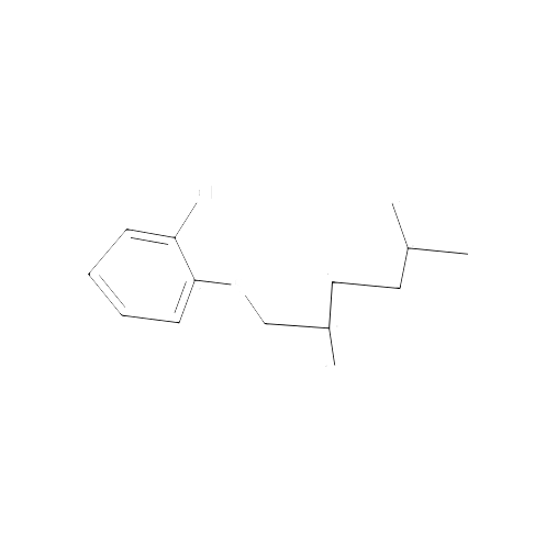 CC(C)CCC(C)CSc1ccccc1Cl